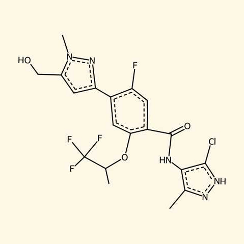 Cc1n[nH]c(Cl)c1NC(=O)c1cc(F)c(-c2cc(CO)n(C)n2)cc1OC(C)C(F)(F)F